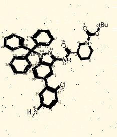 CC(C)(C)OC(=O)N1CCC[C@@H](C(=O)Nc2nn(C(c3ccccc3)(c3ccccc3)c3ccccc3)c3ccc(-c4cc(N)ccc4Cl)cc23)C1